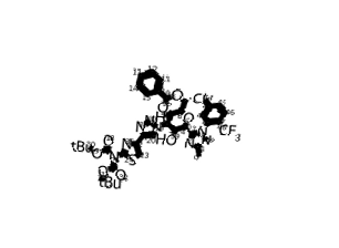 Cc1nc([C@@H]2OC3COC(c4ccccc4)O[C@@H]3C(n3cc(-c4csc(N(C(=O)OC(C)(C)C)C(=O)OC(C)(C)C)n4)nn3)C2O)n(-c2cc(Cl)ccc2C(F)(F)F)n1